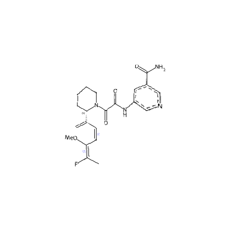 C=C(/C=C\C(OC)=C(/C)F)[C@@H]1CCCCN1C(=O)C(=O)Nc1cncc(C(N)=O)c1